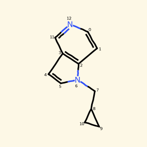 c1cc2c(ccn2CC2CC2)cn1